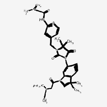 CN(C)CC(=O)N1CC(C)(C)c2ccc(N3C(=O)N(Cc4ccnc(NC(=O)N(C)C)c4)C(C)(C)C3=O)cc21